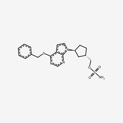 NS(=O)(=O)OC[C@H]1CC[C@H](n2ccc3c(SCc4ccccc4)ncnc32)C1